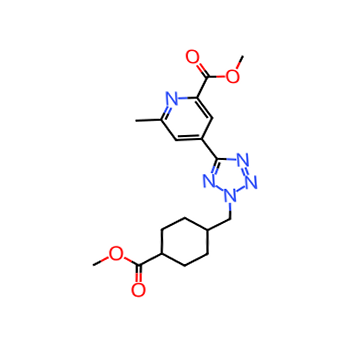 COC(=O)c1cc(-c2nnn(CC3CCC(C(=O)OC)CC3)n2)cc(C)n1